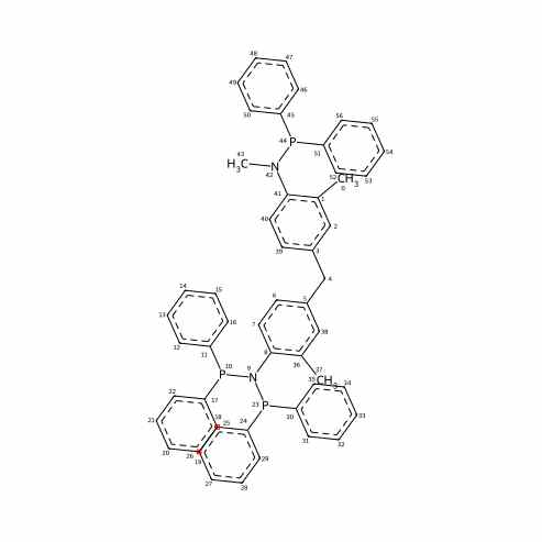 Cc1cc(Cc2ccc(N(P(c3ccccc3)c3ccccc3)P(c3ccccc3)c3ccccc3)c(C)c2)ccc1N(C)P(c1ccccc1)c1ccccc1